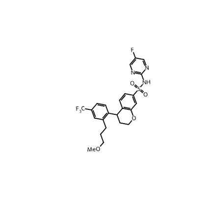 COCCCc1cc(C(F)(F)F)ccc1C1CCOc2cc(S(=O)(=O)Nc3ncc(F)cn3)ccc21